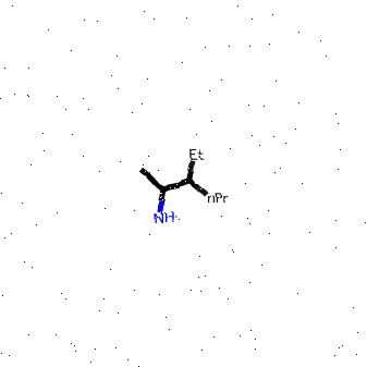 CCCC(CC)C(C)[NH]